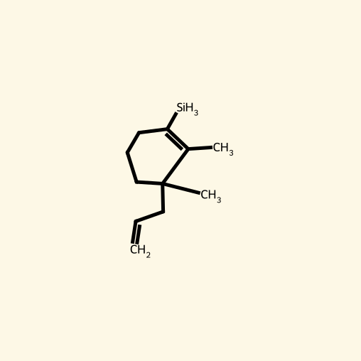 C=CCC1(C)CCCC([SiH3])=C1C